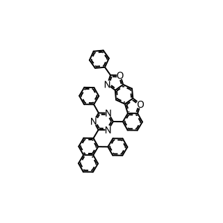 c1ccc(-c2nc(-c3ccc4ccccc4c3-c3ccccc3)nc(-c3cccc4oc5cc6oc(-c7ccccc7)nc6cc5c34)n2)cc1